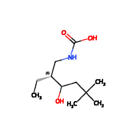 CC[C@H](CNC(=O)O)C(O)CC(C)(C)C